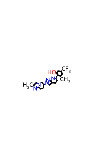 Cc1cn2c(n1)CCC(n1cc3ccc(-c4c(C)cc(C(F)(F)F)cc4O)nc3n1)C2